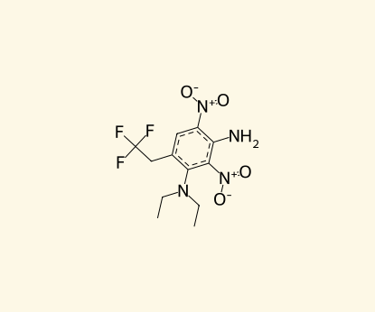 CCN(CC)c1c(CC(F)(F)F)cc([N+](=O)[O-])c(N)c1[N+](=O)[O-]